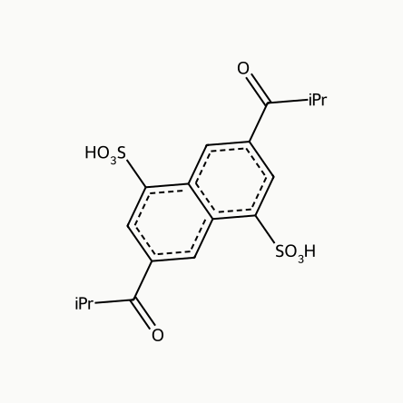 CC(C)C(=O)c1cc(S(=O)(=O)O)c2cc(C(=O)C(C)C)cc(S(=O)(=O)O)c2c1